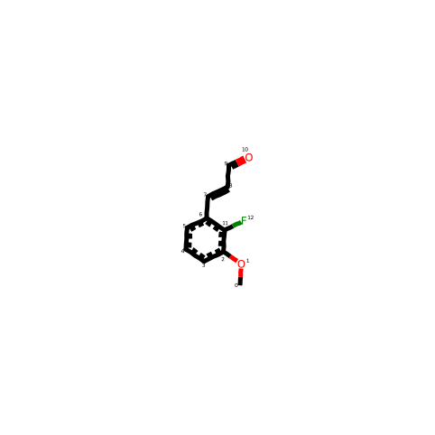 COc1cccc(C=CC=O)c1F